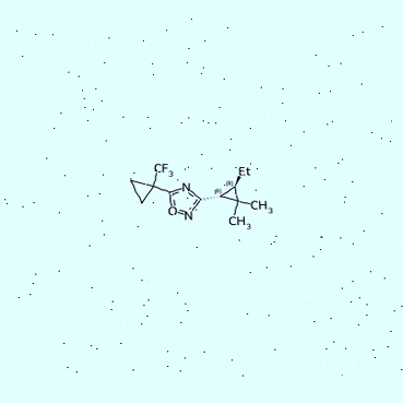 CC[C@@H]1[C@@H](c2noc(C3(C(F)(F)F)CC3)n2)C1(C)C